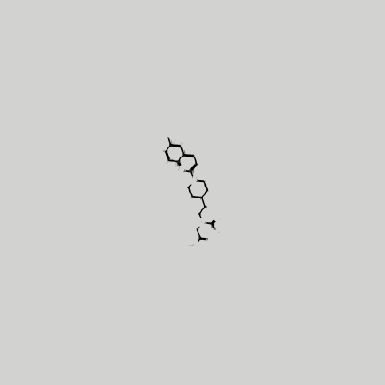 NC(=O)CN(CCC1CCN(c2ccc3cc(Cl)ccc3n2)CC1)C(=O)O